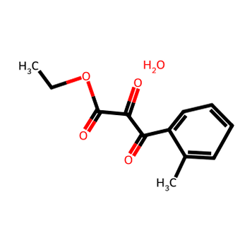 CCOC(=O)C(=O)C(=O)c1ccccc1C.O